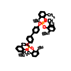 Cc1cccc(C(C)(C)C)c1OP(Oc1ccc(-c2ccc(OP(Oc3c(C)cccc3C(C)(C)C)Oc3c(C)cccc3C(C)(C)C)cc2)cc1)Oc1c(C)cccc1C(C)(C)C